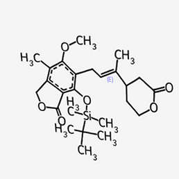 COc1c(C)c2c(c(O[Si](C)(C)C(C)(C)C)c1C/C=C(\C)C1CCOC(=O)C1)C(=O)OC2